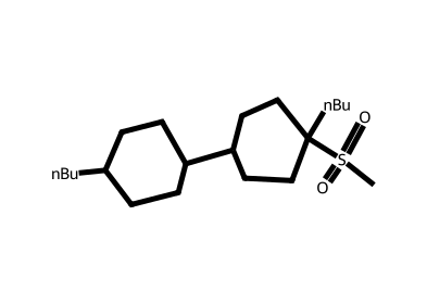 CCCCC1CCC(C2CCC(CCCC)(S(C)(=O)=O)CC2)CC1